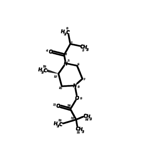 CC(C)C(=O)N1CCN(OC(=O)C(C)(C)C)C[C@@H]1C